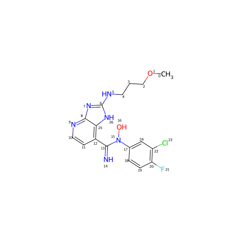 COCCCNc1nc2nccc(C(=N)N(O)c3ccc(F)c(Cl)c3)c2[nH]1